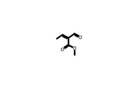 CC=C([C]=O)C(=O)OC